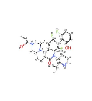 C=CC(=O)N1CC(C)N2c3c(c(=O)n(-c4c(C)ccnc4C(C)C)c4c(F)c(-c5c(O)cccc5F)c(F)cc34)CCC2C1